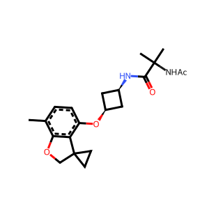 CC(=O)NC(C)(C)C(=O)N[C@H]1C[C@@H](Oc2ccc(C)c3c2C2(CC2)CO3)C1